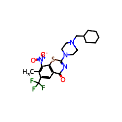 Cc1c(C(F)(F)F)cc2c(=O)nc(N3CCN(CC4CCCCC4)CC3)sc2c1[N+](=O)[O-]